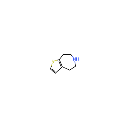 [c]1cc2c(s1)CCNCC2